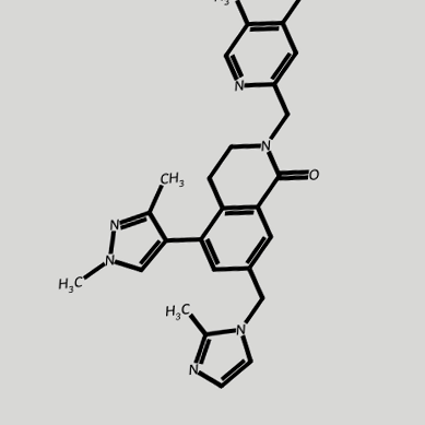 CCOc1cc(CN2CCc3c(cc(Cn4ccnc4C)cc3-c3cn(C)nc3C)C2=O)ncc1C